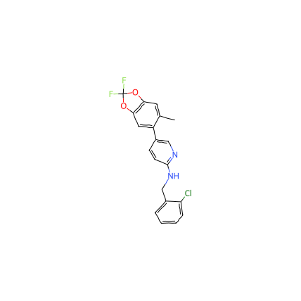 Cc1cc2c(cc1-c1ccc(NCc3ccccc3Cl)nc1)OC(F)(F)O2